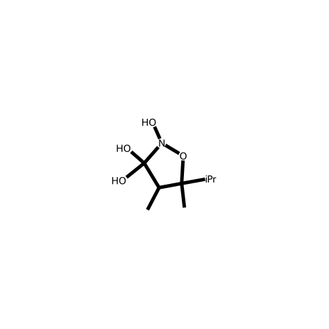 CC(C)C1(C)ON(O)C(O)(O)C1C